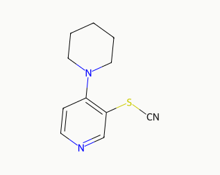 N#CSc1cnccc1N1CCCCC1